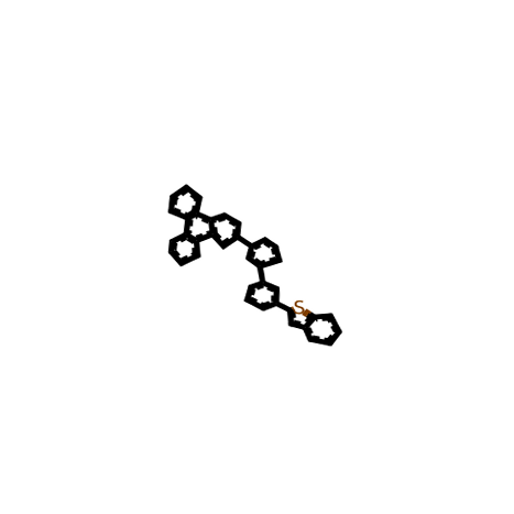 c1cc(-c2cccc(-c3cc4ccccc4s3)c2)cc(-c2ccc3c4ccccc4c4ccccc4c3c2)c1